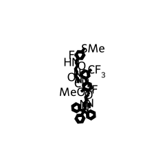 COc1cc(-c2cc(C(F)(F)F)cc3c2n(C)c(=O)n3CC(=O)Nc2ccc(SC)cc2F)cc(F)c1OCc1ncn(C(c2ccccc2)(c2ccccc2)c2ccccc2)n1